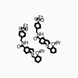 CCS(=O)(=O)c1ccc(CNC(=O)c2ccc3c(ccn3Cc3ccccc3OC(C)C)c2)cc1.CCS(=O)(=O)c1ccc(CNC(=O)c2ccc3c(ccn3Cc3ccccc3OC(C)C)c2)cc1